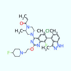 C=CC(=O)N1C[C@H](C)N(c2nc(OCCN3CCC(F)CC3)nc3c(F)c(-c4c(C)ccc5[nH]nc(C)c45)c(Cl)cc23)C[C@H]1C